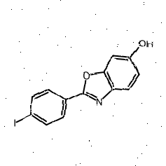 Oc1ccc2nc(-c3ccc(I)cc3)oc2c1